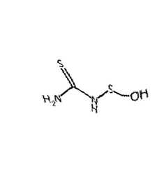 NC(=S)NSO